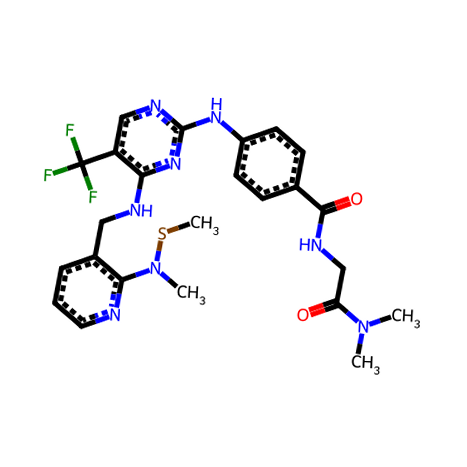 CSN(C)c1ncccc1CNc1nc(Nc2ccc(C(=O)NCC(=O)N(C)C)cc2)ncc1C(F)(F)F